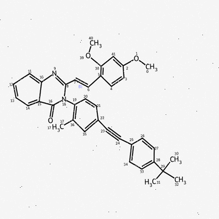 COc1ccc(/C=C/c2nc3ccccc3c(=O)n2-c2ccc(C#Cc3ccc(C(C)(C)C)cc3)cc2C)c(OC)c1